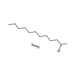 CCCCCCCCCC[S+](C)[O-].O=S